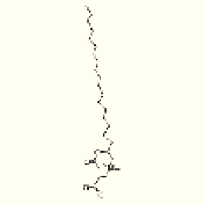 CCCCCCCCCCCCCCCCCCC(C[N+](C)(C)CCC(=O)[O-])OC(C)=O